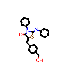 O=C1C(=Cc2ccc(CO)cc2)SC(=Nc2ccccc2)N1c1ccccc1